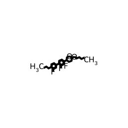 CCCCCOC1CCC(c2ccc(-c3ccc(CCCC)c(F)c3)c(F)c2F)CO1